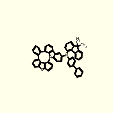 CC1(C)c2ccccc2-c2c(N(c3ccc(-c4ccccc4)cc3)c3ccc4c(c3)c3cccc5c6ccccc6c6cccc7sc8cccc(c8c76)n4c53)cccc21